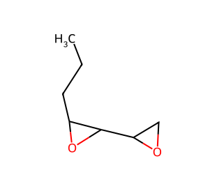 CCCC1OC1C1CO1